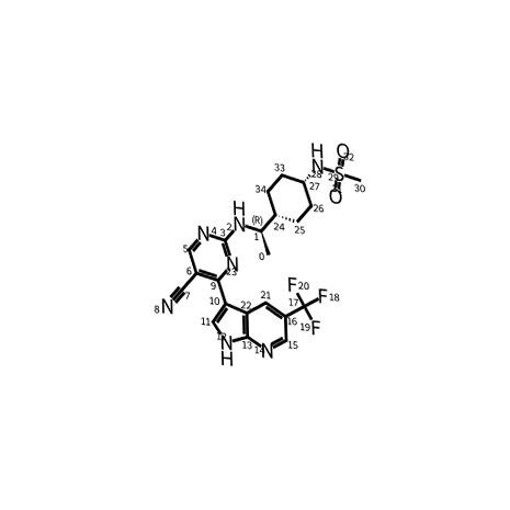 C[C@@H](Nc1ncc(C#N)c(-c2c[nH]c3ncc(C(F)(F)F)cc23)n1)[C@H]1CC[C@@H](NS(C)(=O)=O)CC1